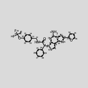 Nc1nc2c(cnn2C(C(=O)NCc2ccc(OC(F)(F)F)cc2)c2ccccc2)c2nc(-c3ccco3)nn12